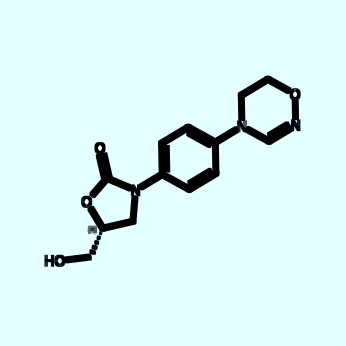 O=C1O[C@@H](CO)CN1c1ccc(N2C=NOCC2)cc1